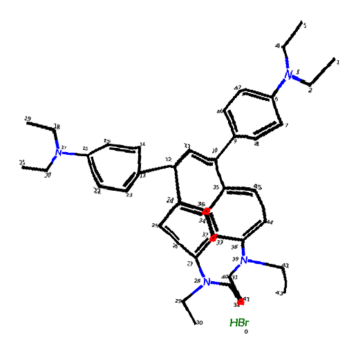 Br.CCN(CC)c1ccc(C(=CC(c2ccc(N(CC)CC)cc2)c2ccc(N(CC)CC)cc2)c2ccc(N(CC)CC)cc2)cc1